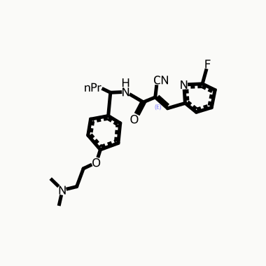 CCCC(NC(=O)/C(C#N)=C/c1cccc(F)n1)c1ccc(OCCN(C)C)cc1